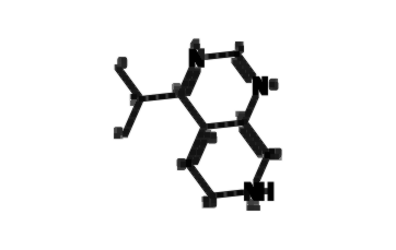 CC(C)c1ncnc2c1=CCNC=2